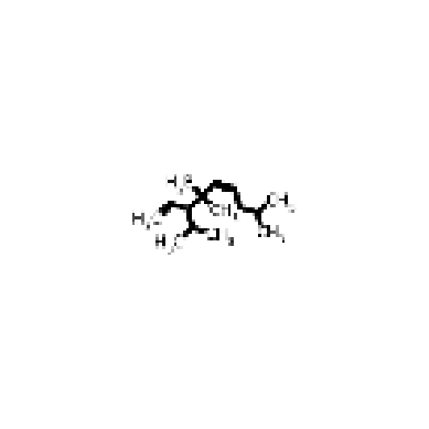 BC(C)(/C=C\CC(C)C)C(C=C)C(C)C